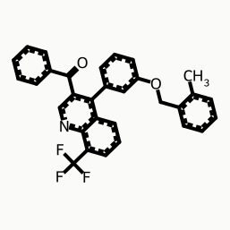 Cc1ccccc1COc1cccc(-c2c(C(=O)c3ccccc3)cnc3c(C(F)(F)F)cccc23)c1